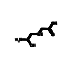 NC(O)CNCC(=O)O